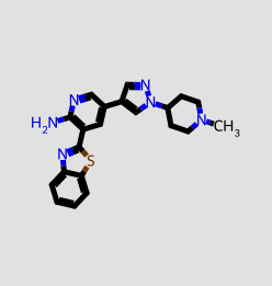 CN1CCC(n2cc(-c3cnc(N)c(-c4nc5ccccc5s4)c3)cn2)CC1